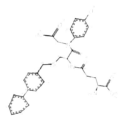 N[C@@H](CCC(=O)N[C@@H](CSCc1ccc(-c2ccccc2)cc1)C(=O)N(CC(=O)O)c1ccc(Cl)cc1)C(=O)O